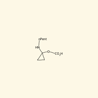 CCCCCNC1(OC(=O)O)CC1